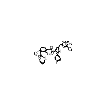 O=C(Nc1cc(Cc2n[nH]c(=O)s2)nn1-c1ccc(F)cc1)c1ccc(C(F)(F)F)c(-c2ncccn2)c1F